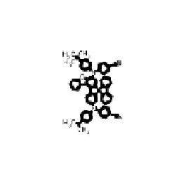 CC(C)c1ccc(N(c2ccc(C#N)cc2)c2ccc3c(c2)C2(c4ccccc4-c4ccccc42)c2cc(N(c4ccc(C#N)cc4)c4ccc(C(C)(C)C)cc4)c4oc5ccccc5c4c2-3)cc1